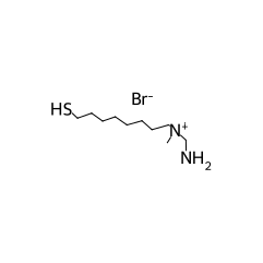 C[N+](C)(CN)CCCCCCCCS.[Br-]